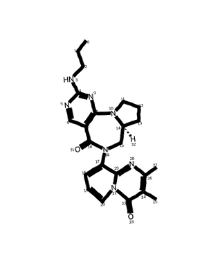 CCCNc1ncc2c(n1)N1CCC[C@H]1CN(c1cccn3c(=O)c(C)c(C)nc13)C2=O